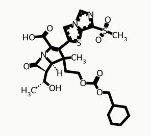 C[C@@H](O)[C@H]1C(=O)N2C(C(=O)O)=C(c3cn4cnc(S(C)(=O)=O)c4s3)C(C)(CCOC(=O)OCC3CCCCC3)[C@@H]12